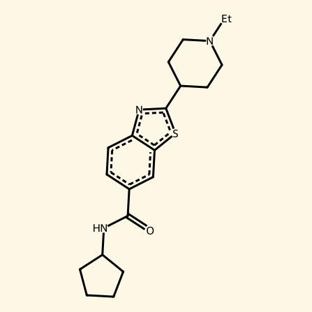 CCN1CCC(c2nc3ccc(C(=O)NC4CCCC4)cc3s2)CC1